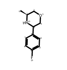 C[C@H]1COCC(c2ccc(F)cc2)N1